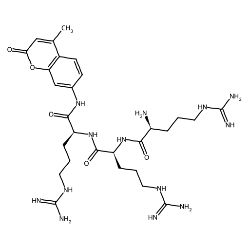 Cc1cc(=O)oc2cc(NC(=O)[C@H](CCCNC(=N)N)NC(=O)[C@H](CCCNC(=N)N)NC(=O)[C@@H](N)CCCNC(=N)N)ccc12